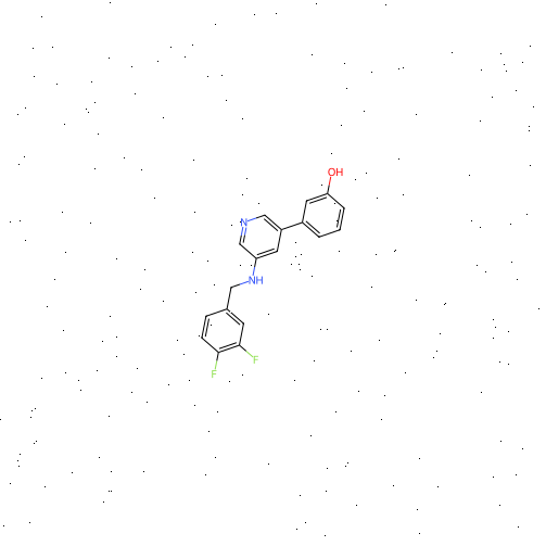 Oc1cccc(-c2cncc(NCc3ccc(F)c(F)c3)c2)c1